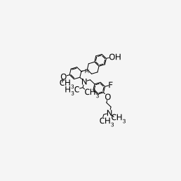 CCN(C)CCOc1ccc(CN(C(C)C)C2C=C(OC)C=CC2[C@@H]2CCc3cc(O)ccc3C2)cc1F